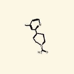 Cc1ccnc(C2=CCN(C(=O)O)CC2)c1